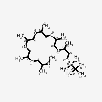 COC(C)COC(C)COC(C)COC(C)COC(C)COC(C)CO[Si](C)(C)C(C)(C)C